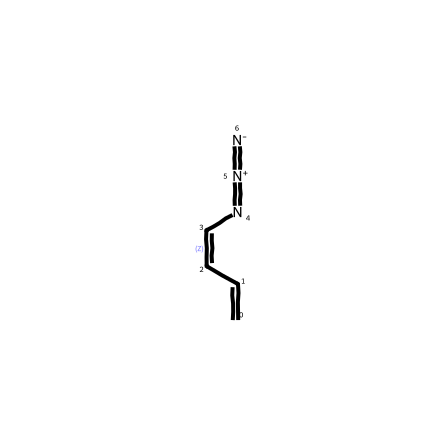 C=C/C=C\N=[N+]=[N-]